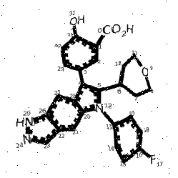 O=C(O)c1cc(-c2c(C3CCOCC3)n(-c3ccc(F)cc3)c3cc4cn[nH]c4cc23)ccc1O